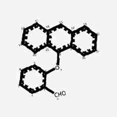 O=Cc1ccccc1Oc1c2ccccc2cc2ccccc12